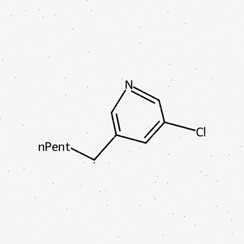 [CH2]CCCC[CH]c1cncc(Cl)c1